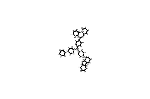 C1=CC2C=C(c3ccc(N(C4=CCC(c5cccc6c5oc5ccccc56)C=C4)c4ccc(-c5ccccc5)cc4)cc3)c3ccccc3C2C=C1